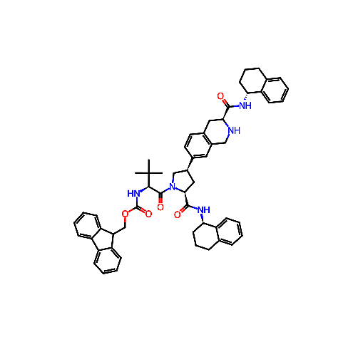 CC(C)(C)[C@H](NC(=O)OCC1c2ccccc2-c2ccccc21)C(=O)N1C[C@@H](c2ccc3c(c2)CN[C@H](C(=O)N[C@@H]2CCCc4ccccc42)C3)C[C@H]1C(=O)N[C@@H]1CCCc2ccccc21